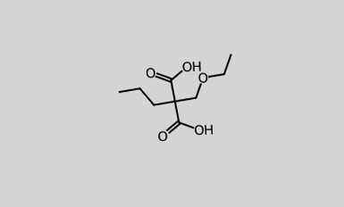 CCCC(COCC)(C(=O)O)C(=O)O